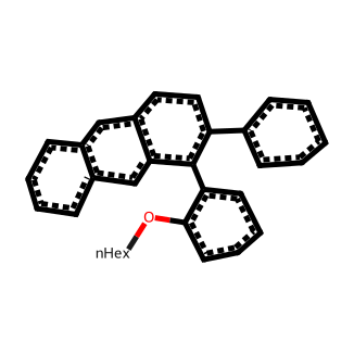 CCCCCCOc1ccccc1-c1c(-c2ccccc2)ccc2cc3ccccc3cc12